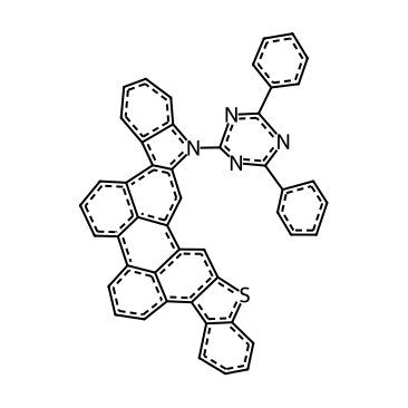 c1ccc(-c2nc(-c3ccccc3)nc(-n3c4ccccc4c4c5cccc6c7cccc8c9c(cc(c(cc43)c65)c78)sc3ccccc39)n2)cc1